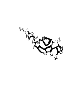 Cc1nnc(COc2nc3cnc4cc(-c5c(C)noc5C)c(F)cc4c3n2[C@H](C)c2ccccn2)o1